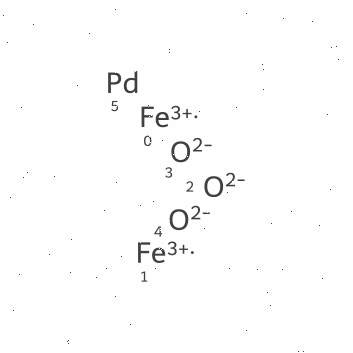 [Fe+3].[Fe+3].[O-2].[O-2].[O-2].[Pd]